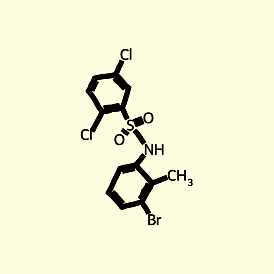 Cc1c(Br)cccc1NS(=O)(=O)c1cc(Cl)ccc1Cl